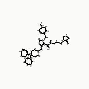 O=C(NCCCN1CCCC1=O)c1c(CN2CCC(c3ccccc3)(c3ccccc3)CC2)ncn1Cc1ccc(Cl)cc1